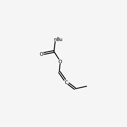 CC=C=COC(=O)CCCC